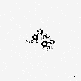 COc1ccc(-n2nccc2NC(=O)CSc2nnnn2-c2cccc(C)c2C)cc1F